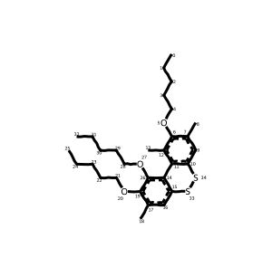 CCCCCOc1c(C)cc2c(c1C)-c1c(cc(C)c(OCCCCC)c1OCCCCC)SS2